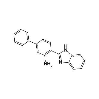 Nc1cc(-c2ccccc2)ccc1-c1nc2ccccc2[nH]1